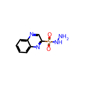 NNS(=O)(=O)c1cnc2ccccc2n1